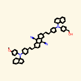 COc1ccc(N(c2ccc(C=Cc3ccc4c(C#N)c5cc(C=Cc6ccc(N(c7ccc(CO)cc7)c7cccc8ccccc78)cc6)ccc5c(C#N)c4c3)cc2)c2cccc3ccccc23)cc1